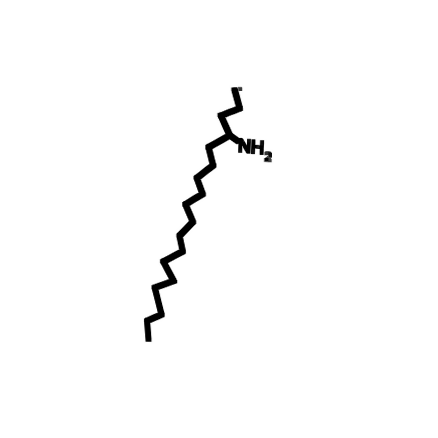 [CH2]CCC(N)CCCCCCCCCCCCCC